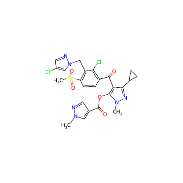 Cn1cc(C(=O)Oc2c(C(=O)c3ccc(S(C)(=O)=O)c(Cn4cc(Cl)cn4)c3Cl)c(C3CC3)nn2C)cn1